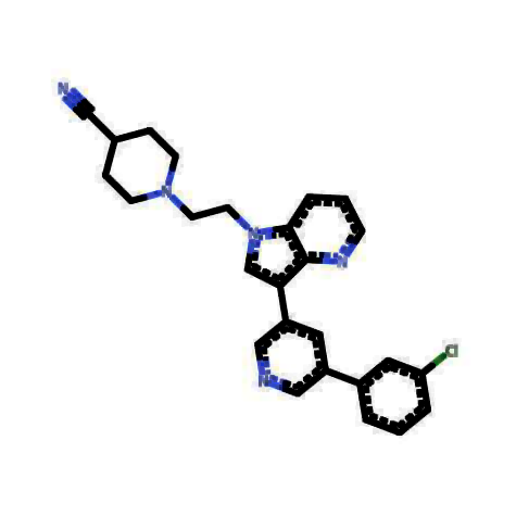 N#CC1CCN(CCn2cc(-c3cncc(-c4cccc(Cl)c4)c3)c3ncccc32)CC1